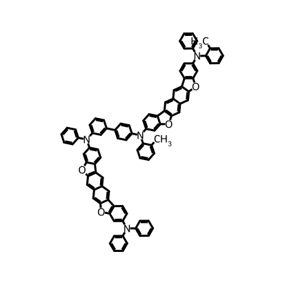 Cc1ccccc1N(c1ccccc1)c1ccc2c(c1)oc1cc3cc4oc5cc(N(c6ccc(-c7cccc(N(c8ccccc8)c8ccc9c(c8)oc8cc%10cc%11oc%12cc(N(c%13ccccc%13)c%13ccccc%13)ccc%12c%11cc%10cc89)c7)cc6)c6ccccc6C)ccc5c4cc3cc12